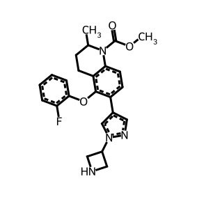 COC(=O)N1c2ccc(-c3cnn(C4CNC4)c3)c(Oc3ccccc3F)c2CCC1C